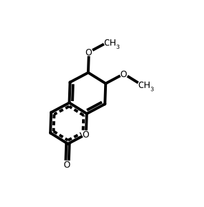 COC1C=c2ccc(=O)oc2=CC1OC